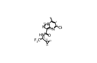 Cc1cc(Cl)nc2c(C(=O)N[C@@H](C3CC3)C(F)(F)F)ncn12